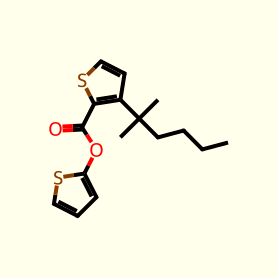 CCCCC(C)(C)c1ccsc1C(=O)Oc1cccs1